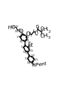 C=C(C)C(=O)OCCOc1cc(-c2ccc(-c3ccc(CCCCC)cc3)cc2CC)ccc1OCCO